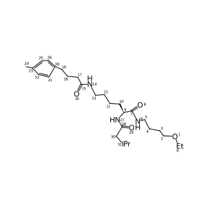 CCOCCCCNC(=O)[C@H](CCCCNC(=O)CCCc1ccc(C)cc1)NC(=O)CC(C)C